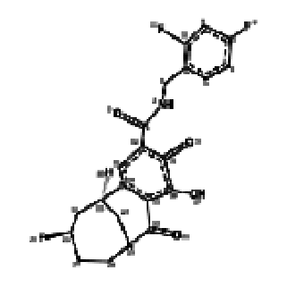 O=C(NCc1ccc(F)cc1F)c1cn2c(c(O)c1=O)C(=O)N1CC[C@@H](F)C[C@@H]2C1